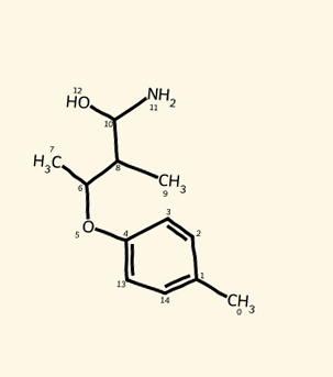 Cc1ccc(OC(C)C(C)C(N)O)cc1